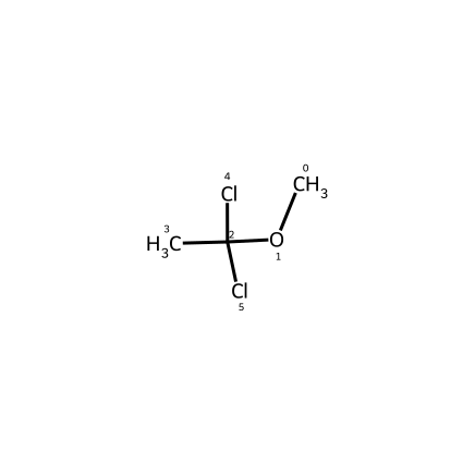 COC(C)(Cl)Cl